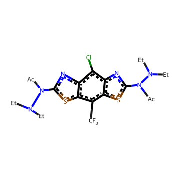 CCN(CC)N(C(C)=O)c1nc2c(Cl)c3nc(N(C(C)=O)N(CC)CC)sc3c(C(F)(F)F)c2s1